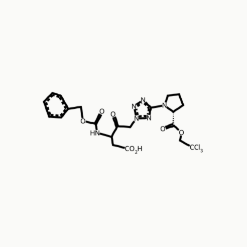 O=C(O)CC(NC(=O)OCc1ccccc1)C(=O)Cn1nnc(N2CCC[C@@H]2C(=O)OCC(Cl)(Cl)Cl)n1